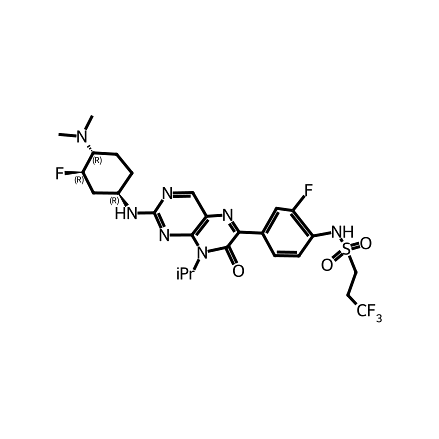 CC(C)n1c(=O)c(-c2ccc(NS(=O)(=O)CCC(F)(F)F)c(F)c2)nc2cnc(N[C@@H]3CC[C@@H](N(C)C)[C@H](F)C3)nc21